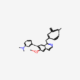 COc1cc2ccnc(Cc3ccc(C)c(C)c3)c2cc1-c1cccc(N(C)C)c1